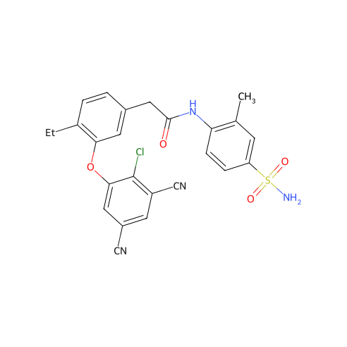 CCc1ccc(CC(=O)Nc2ccc(S(N)(=O)=O)cc2C)cc1Oc1cc(C#N)cc(C#N)c1Cl